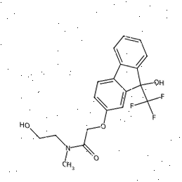 CN(CCO)C(=O)COc1ccc2c(c1)C(O)(C(F)(F)F)c1ccccc1-2